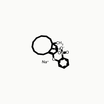 CC1C2=C(Oc3ccccc3S(=O)(=O)[O-])C=CC1(C)CCCCCCCCC2.[Na+]